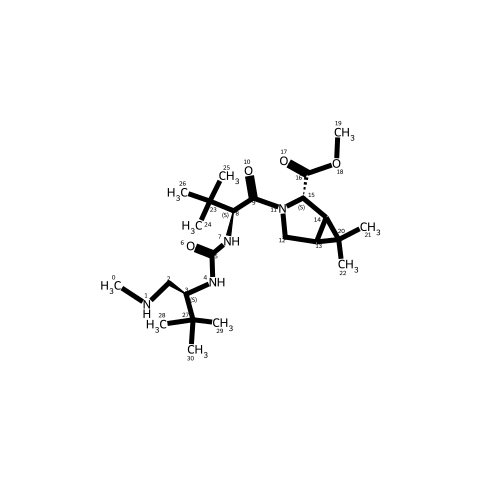 CNC[C@@H](NC(=O)N[C@H](C(=O)N1CC2C([C@H]1C(=O)OC)C2(C)C)C(C)(C)C)C(C)(C)C